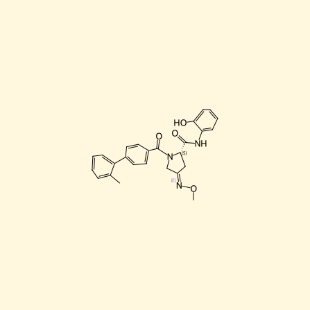 CO/N=C1\C[C@@H](C(=O)Nc2ccccc2O)N(C(=O)c2ccc(-c3ccccc3C)cc2)C1